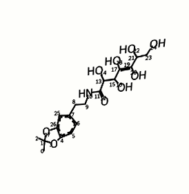 CC1(C)Oc2ccc(CCNC(=O)C(O)C(O)/C(O)=C(\O)C(O)CO)cc2O1